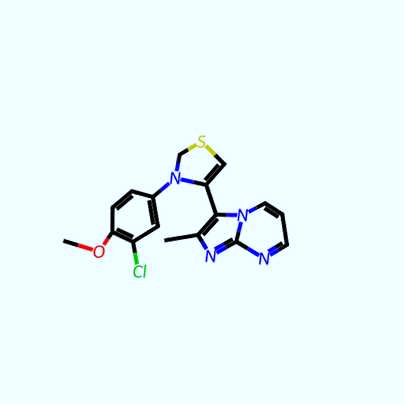 COc1ccc(N2CSC=C2c2c(C)nc3ncccn23)cc1Cl